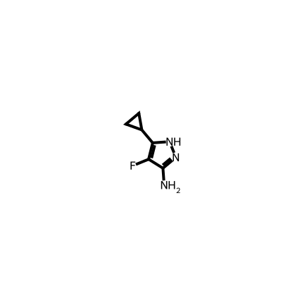 Nc1n[nH]c(C2CC2)c1F